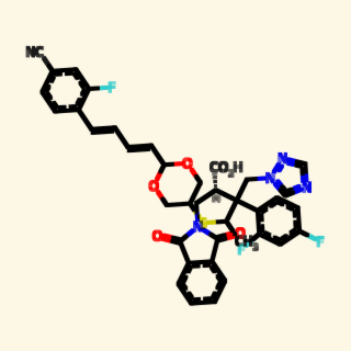 CC(SC1COC(C=CC=Cc2ccc(C#N)cc2F)OC1)C(Cn1cncn1)(c1ccc(F)cc1F)[C@H](CN1C(=O)c2ccccc2C1=O)C(=O)O